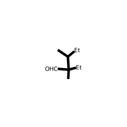 CCC(C)C(C)(C=O)CC